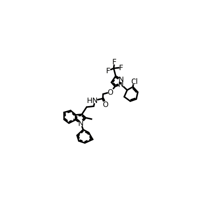 Cc1c(CCNC(=O)COc2cc(C(F)(F)F)nn2C2CC=CC=C2Cl)c2ccccc2n1-c1ccccc1